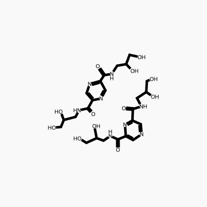 O=C(NCC(O)CO)c1cnc(C(=O)NCC(O)CO)cn1.O=C(NCC(O)CO)c1cncc(C(=O)NCC(O)CO)n1